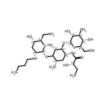 NCCCN[C@@H]1C[C@H](O)[C@@H](CN)O[C@@H]1OC1[C@@H](N)C[C@@H](NC(=O)[C@@H](O)CN)[C@H](O[C@H]2O[C@H](CO)[C@@H](O)[C@H](N)[C@H]2O)[C@H]1O